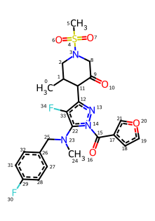 CC1CN(S(C)(=O)=O)CC(=O)C1c1nn(C(=O)c2ccoc2)c(N(C)Cc2ccc(F)cc2)c1F